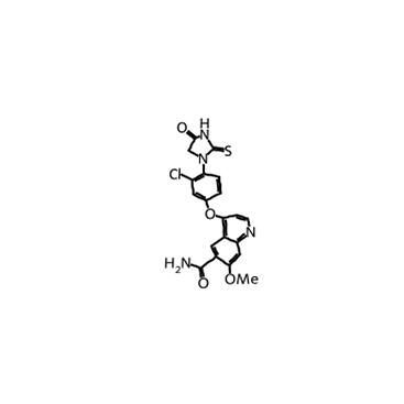 COc1cc2nccc(Oc3ccc(N4CC(=O)NC4=S)c(Cl)c3)c2cc1C(N)=O